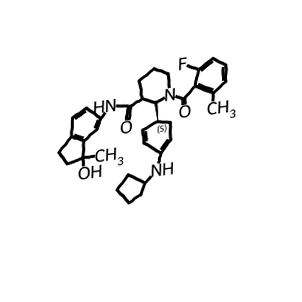 Cc1cccc(F)c1C(=O)N1CCCC(C(=O)Nc2ccc3c(c2)C(C)(O)CC3)C1[C@@H]1C=CC(NC2CCCC2)=CC1